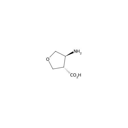 N[C@@H]1COC[C@H]1C(=O)O